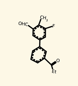 CCC(=O)c1cccc(-c2cc(F)c(C)c(C=O)c2)c1